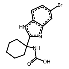 O=C(O)NC1(c2nc3cc(Br)ccc3[nH]2)CCCCC1